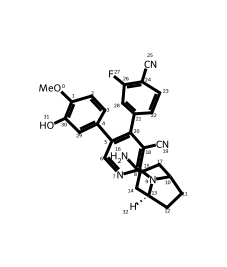 COc1ccc(-c2cnc(N3C4CC[C@H]3CC(N)C4)c(C#N)c2-c2ccc(C#N)c(F)c2)cc1O